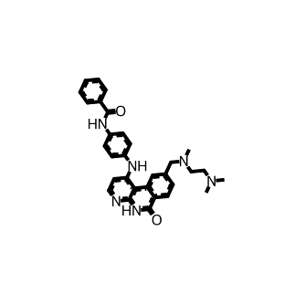 CN(C)CCN(C)Cc1ccc2c(=O)[nH]c3nccc(Nc4ccc(NC(=O)c5ccccc5)cc4)c3c2c1